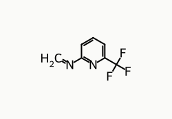 C=Nc1cccc(C(F)(F)F)n1